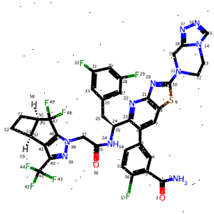 NC(=O)c1cc(-c2cc3sc(N4CCn5cnnc5C4)nc3nc2[C@H](Cc2cc(F)cc(F)c2)NC(=O)Cn2nc(C(F)(F)F)c3c2C(F)(F)[C@@H]2CC[C@H]32)ccc1F